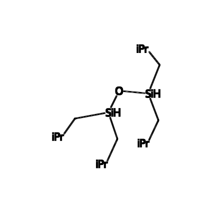 CC(C)C[SiH](CC(C)C)O[SiH](CC(C)C)CC(C)C